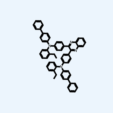 CCc1ccccc1N(c1ccc(-c2ccccc2)cc1)c1ccc(-c2nc3ccccc3nc2-c2ccc(N(c3ccc(-c4ccccc4)cc3)c3ccccc3CC)cc2)cc1